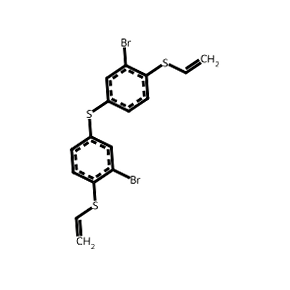 C=CSc1ccc(Sc2ccc(SC=C)c(Br)c2)cc1Br